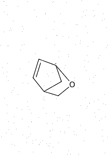 C1=CC2CO[C]1C2